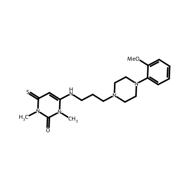 COc1ccccc1N1CCN(CCCNc2cc(=S)n(C)c(=O)n2C)CC1